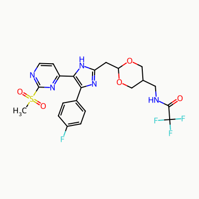 CS(=O)(=O)c1nccc(-c2[nH]c(CC3OCC(CNC(=O)C(F)(F)F)CO3)nc2-c2ccc(F)cc2)n1